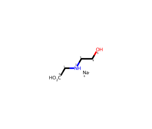 O=C(O)CNCCO.[Na]